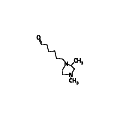 CC1CN(C)CCN1CCCCCC=O